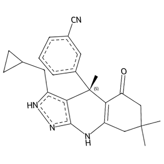 CC1(C)CC(=O)C2=C(C1)Nc1n[nH]c(CC3CC3)c1[C@]2(C)c1cccc(C#N)c1